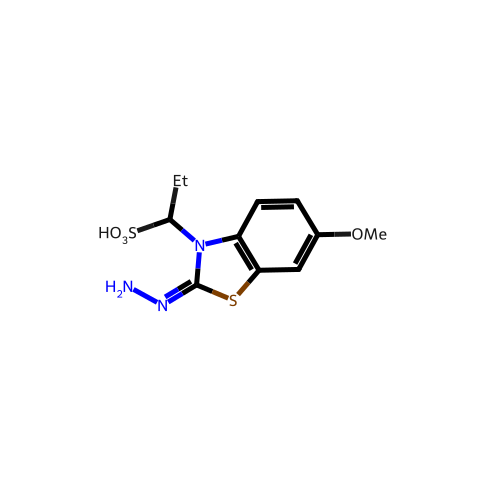 CCC(n1c(=NN)sc2cc(OC)ccc21)S(=O)(=O)O